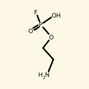 NCCOP(=O)(O)F